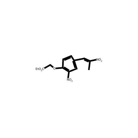 CCOC(=O)COc1ccc(C=C(C)[N+](=O)[O-])cc1[N+](=O)[O-]